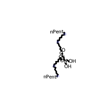 CCCCC/C=C\CCCC/C=C\CCCCC(=O)OC[C@H](CCN(CCO)CCO)OC(=O)CCCC/C=C\CCCC/C=C\CCCCC